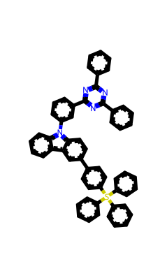 c1ccc(-c2nc(-c3ccccc3)nc(-c3cccc(-n4c5ccccc5c5cc(-c6ccc(S(c7ccccc7)(c7ccccc7)c7ccccc7)cc6)ccc54)c3)n2)cc1